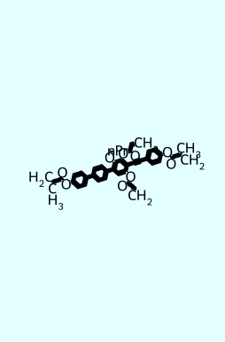 C=CC(=O)Oc1cc(-c2ccc(-c3ccc(OC(=O)C(=C)C)cc3)cc2)c(OCCC)c(OC(=O)C=C)c1C#Cc1ccc(OC(=O)C(=C)C)cc1